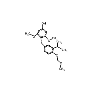 COCOc1ccc(Cc2c(OC)cc(O)cc2OC)cc1C(C)C